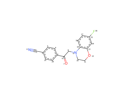 N#Cc1ccc(C(=O)CN2CCOc3cc(F)ccc32)cc1